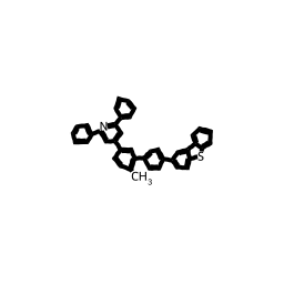 Cc1ccc(-c2cc(-c3ccccc3)nc(-c3ccccc3)c2)cc1-c1ccc(-c2ccc3sc4ccccc4c3c2)cc1